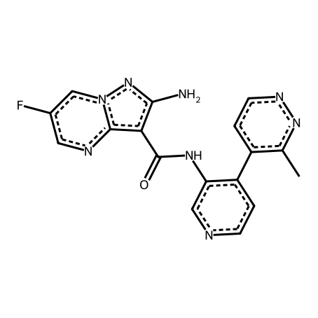 Cc1nnccc1-c1ccncc1NC(=O)c1c(N)nn2cc(F)cnc12